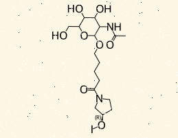 CC(=O)NC1C(OCCCCC(=O)N2CC[C@@H](OI)C2)OC(CO)C(O)C1O